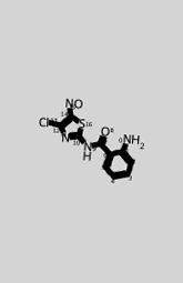 Nc1ccccc1C(=O)Nc1nc(Cl)c(N=O)s1